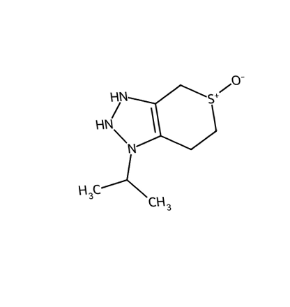 CC(C)N1NNC2=C1CC[S+]([O-])C2